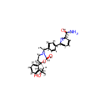 C[C@@H](c1ccc(-c2cccc(C(N)=O)n2)cc1)N1CC[C@](CC(C)(C)O)(c2ccccc2)OC1=O